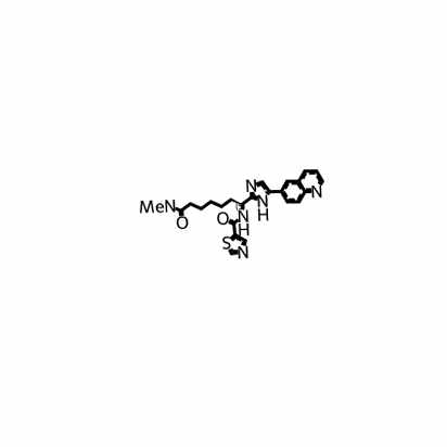 CNC(=O)CCCCC[C@H](NC(=O)c1cncs1)c1ncc(-c2ccc3ncccc3c2)[nH]1